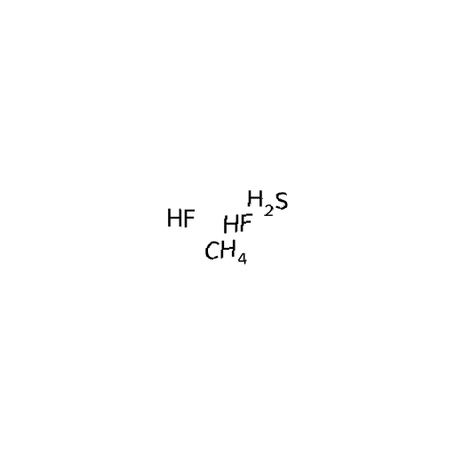 C.F.F.S